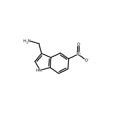 NCc1c[nH]c2ccc([N+](=O)[O-])cc12